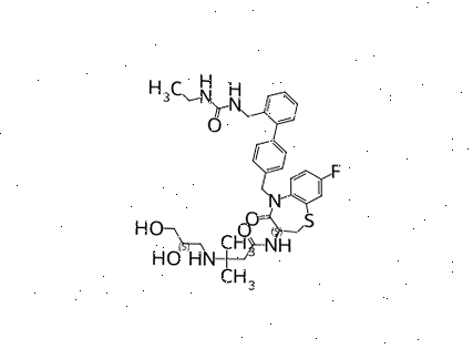 CCNC(=O)NCc1ccccc1-c1ccc(CN2C(=O)[C@H](NC(=O)CC(C)(C)NC[C@H](O)CO)CSc3cc(F)ccc32)cc1